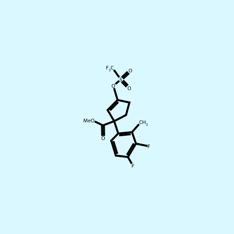 COC(=O)C1(c2ccc(F)c(F)c2C)C=C(OS(=O)(=O)C(F)(F)F)CC1